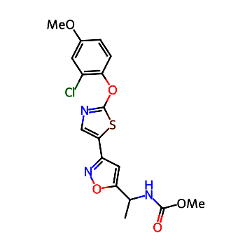 COC(=O)NC(C)c1cc(-c2cnc(Oc3ccc(OC)cc3Cl)s2)no1